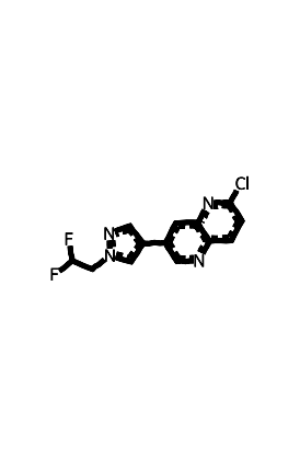 FC(F)Cn1cc(-c2cnc3ccc(Cl)nc3c2)cn1